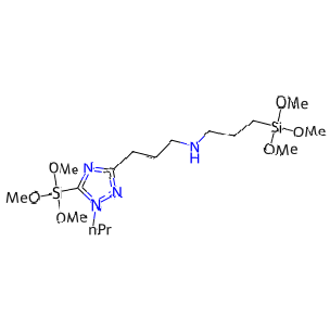 CCCn1nc(CCCNCCC[Si](OC)(OC)OC)nc1[Si](OC)(OC)OC